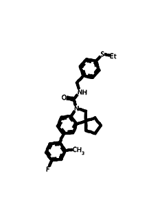 CCSc1ccc(CNC(=O)N2CC3(CCCC3)c3cc(-c4ccc(F)cc4C)ccc32)cc1